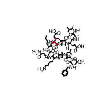 CCCC[C@H](NC(=O)[C@H](CCC(N)=O)NC(=O)[C@H](CCCCN)NC(=O)C(C)(C)NC(=O)[C@H](CC(C)C)NC(=O)[C@H](CC(=O)O)NCc1ccccc1)C(=O)N[C@@H](CCC(=O)O)C(=O)N[C@@H](CCC(=O)O)C(=O)N[C@@H](CCC(=O)O)C(=O)N[C@@H](C)C(=O)N[C@H](C)C(C)C